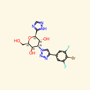 OC[C@H]1O[C@@H](c2ncn[nH]2)[C@H](O)[C@@H](n2cc(-c3cc(F)c(Br)c(F)c3)nn2)[C@H]1O